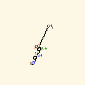 Br.CCCCCCCCCCCCCCOc1ccc(CC(=O)Nc2cccc(CN3C=CSC3)c2)cc1OC